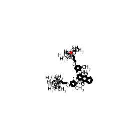 Cc1cc(OCCC[Si](C)(O[Si](C)(C)C)O[Si](C)(C)C)cc(C)c1Nc1ccc(Nc2c(C)cc(OCCC[Si](C)(O[Si](C)(C)C)O[Si](C)(C)C)cc2C)c2c1C(=O)c1ccccc1C2=O